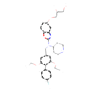 CCOc1cc(CN(c2nc3cc(OCC(O)CO)ccc3o2)C2CCNCC2)cc(OCC)c1-c1ccc(F)cc1